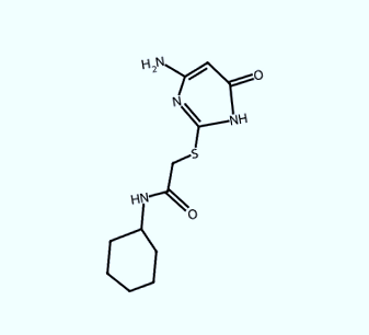 Nc1cc(=O)[nH]c(SCC(=O)NC2CCCCC2)n1